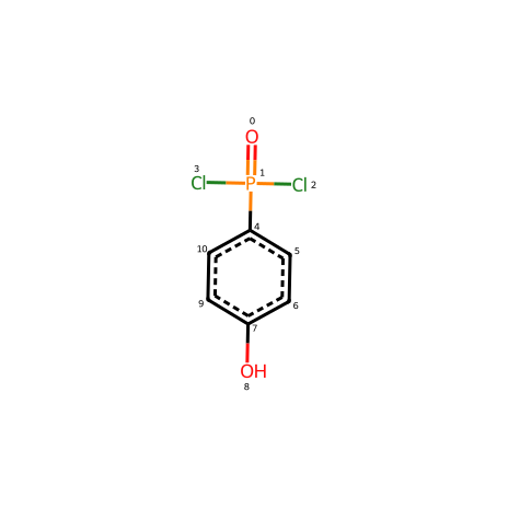 O=P(Cl)(Cl)c1ccc(O)cc1